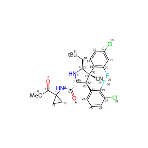 COC(=O)C1(NC(=O)[C@@H]2N[C@@H](CC(C)(C)C)[C@](C#N)(c3ccc(Cl)cc3F)[C@H]2c2cccc(Cl)c2F)CC1